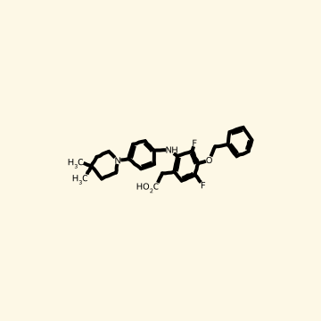 CC1(C)CCN(c2ccc(Nc3c(CC(=O)O)cc(F)c(OCc4ccccc4)c3F)cc2)CC1